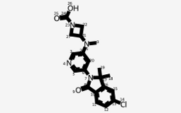 CN(c1cncc(N2C(=O)c3ccc(Cl)cc3C2(C)C)c1)C1CN(C(=O)O)C1